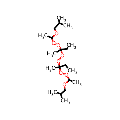 CCC(C)(OOC(C)OCC(C)C)OOC(C)(CC)OOC(C)OCC(C)C